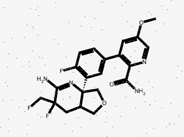 COc1cnc(C(N)=O)c(-c2ccc(F)c([C@]34COCC3CC(F)(CF)C(N)=N4)c2)c1